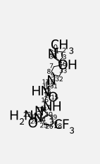 Cc1ccc(C2(O)CCC(N3CC(NC(=O)CNc4nn(C(N)=O)c5ccc(C(F)(F)F)cc45)C3)CC2)cn1